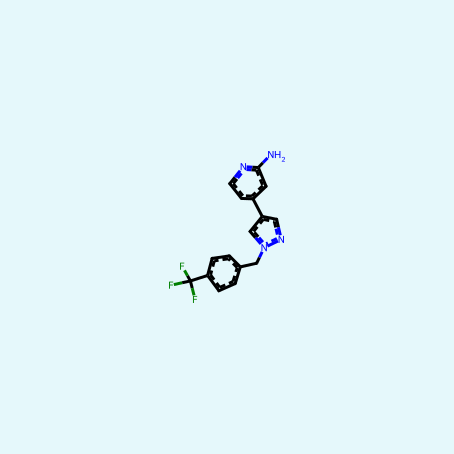 Nc1cc(-c2cnn(Cc3ccc(C(F)(F)F)cc3)c2)ccn1